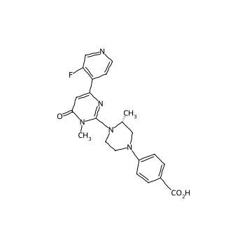 C[C@@H]1CN(c2ccc(C(=O)O)cc2)CCN1c1nc(-c2ccncc2F)cc(=O)n1C